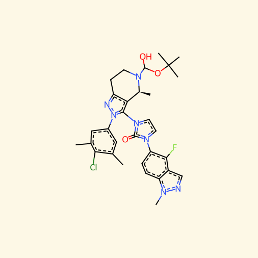 Cc1cc(-n2nc3c(c2-n2ccn(-c4ccc5c(cnn5C)c4F)c2=O)[C@H](C)N(C(O)OC(C)(C)C)CC3)cc(C)c1Cl